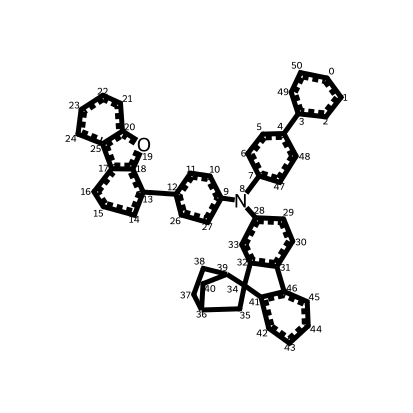 c1ccc(-c2ccc(N(c3ccc(-c4cccc5c4oc4ccccc45)cc3)c3ccc4c(c3)C3(CC5CCC3C5)c3ccccc3-4)cc2)cc1